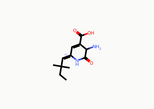 CCC(C)(C)/C=C1/C=C(C(=O)O)C(N)C(=O)N1